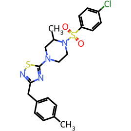 Cc1ccc(Cc2nsc(N3CCN(S(=O)(=O)c4ccc(Cl)cc4)C(C)C3)n2)cc1